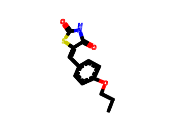 CCCOc1ccc(/C=C2/SC(=O)NC2=O)cc1